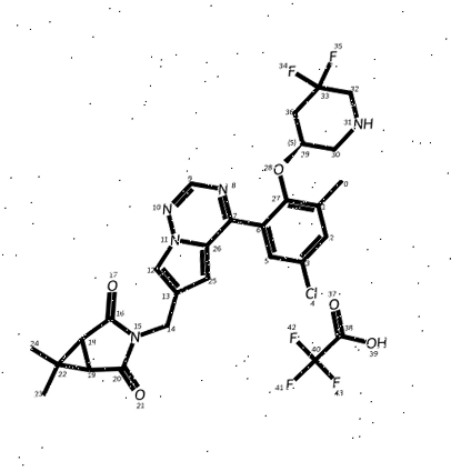 Cc1cc(Cl)cc(-c2ncnn3cc(CN4C(=O)C5C(C4=O)C5(C)C)cc23)c1O[C@@H]1CNCC(F)(F)C1.O=C(O)C(F)(F)F